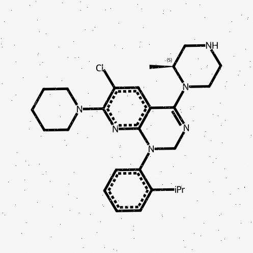 CC(C)c1ccccc1N1CN=C(N2CCNC[C@@H]2C)c2cc(Cl)c(N3CCCCC3)nc21